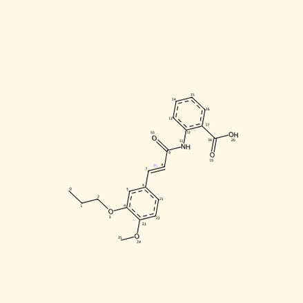 CCCOc1cc(/C=C/C(=O)Nc2ccccc2C(=O)O)ccc1OC